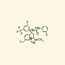 Cn1ncnc1C[C@](NC(=O)Nc1cccc(F)c1)(c1cc(F)cc(C(F)(F)F)c1)c1ccc(CI)cn1